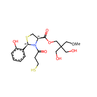 COCC(CO)(CO)COC(=O)[C@@H]1CS[C@H](c2ccccc2O)N1C(=O)CCS